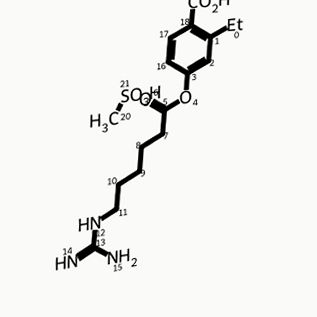 CCc1cc(OC(=O)CCCCCNC(=N)N)ccc1C(=O)O.CS(=O)(=O)O